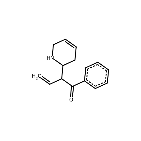 C=CC(C(=O)c1ccccc1)C1CC=CCN1